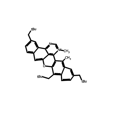 Cc1c2c(c(CC(C)(C)C)c3ccc(CC(C)(C)C)cc13)Oc1cc3ccc(CC(C)(C)C)cc3c3nc[n+](C)c-2c13